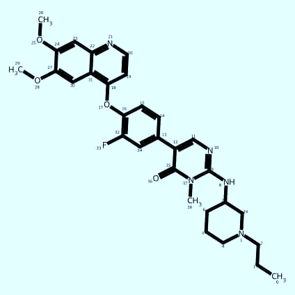 CCCN1CCCC(Nc2ncc(-c3ccc(Oc4ccnc5cc(OC)c(OC)cc45)c(F)c3)c(=O)n2C)C1